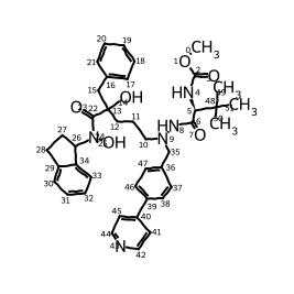 COC(=O)N[C@H](C(=O)NN(CCCC(O)(Cc1ccccc1)C(=O)N(O)C1CCc2ccccc21)Cc1ccc(-c2ccncc2)cc1)C(C)(C)C